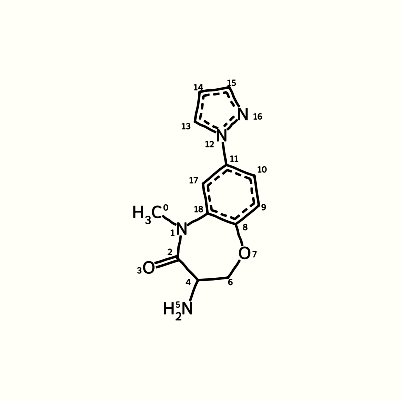 CN1C(=O)C(N)COc2ccc(-n3cccn3)cc21